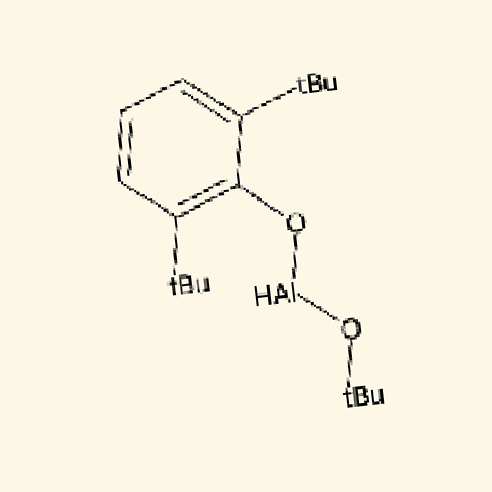 CC(C)(C)[O][AlH][O]c1c(C(C)(C)C)cccc1C(C)(C)C